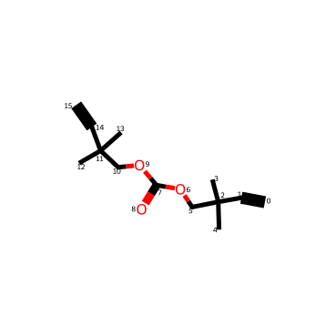 C#CC(C)(C)COC(=O)OCC(C)(C)C#C